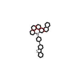 c1ccc(-c2ccccc2N(c2ccc(-c3ccc4c(c3)sc3ccccc34)cc2)c2ccccc2-c2cccc(-c3cccc4ccccc34)c2)cc1